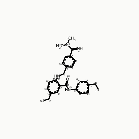 CN(C)C(=N)c1ccc(CNc2ccc(CI)cc2C(=O)Nc2ccc(CI)cn2)cc1